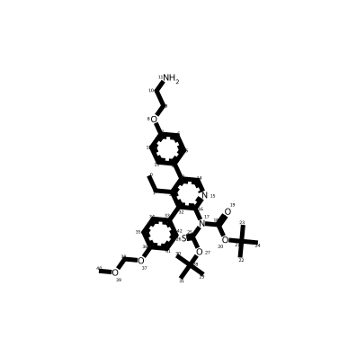 CCc1c(-c2ccc(OCCN)cc2)cnc(N(C(=O)OC(C)(C)C)C(=S)OC(C)(C)C)c1-c1ccc(OCOC)cc1